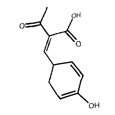 CC(=O)C(=CC1C=CC(O)=CC1)C(=O)O